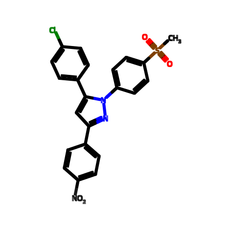 CS(=O)(=O)c1ccc(-n2nc(-c3ccc([N+](=O)[O-])cc3)cc2-c2ccc(Cl)cc2)cc1